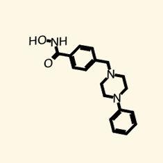 O=C(NO)c1ccc(CN2CCN(c3ccccc3)CC2)cc1